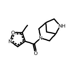 Cc1oncc1C(=O)N1CC2CNC(C2)C1